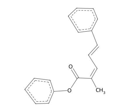 CC(=CC=Cc1ccccc1)C(=O)Oc1ccccc1